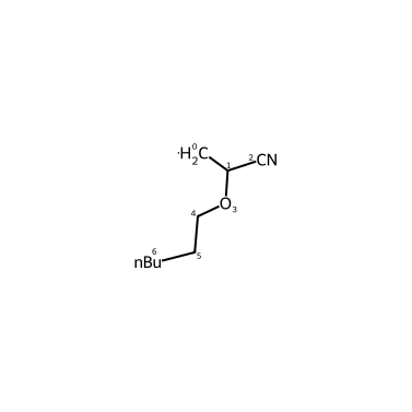 [CH2]C(C#N)OCCCCCC